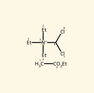 CCOC(C)=O.CC[N+](CC)(CC)C(Cl)Cl